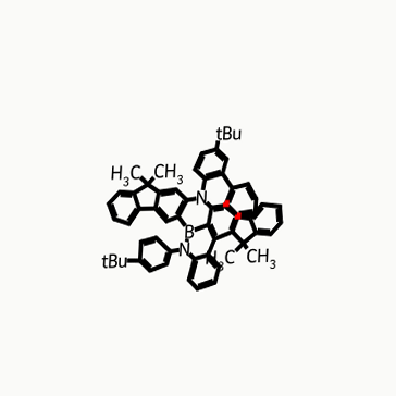 CC(C)(C)c1ccc(N2B3c4cc5c(cc4N(c4ccc(C(C)(C)C)cc4-c4ccccc4)c4cc6c(c(c43)-c3ccccc32)C(C)(C)c2ccccc2-6)C(C)(C)c2ccccc2-5)cc1